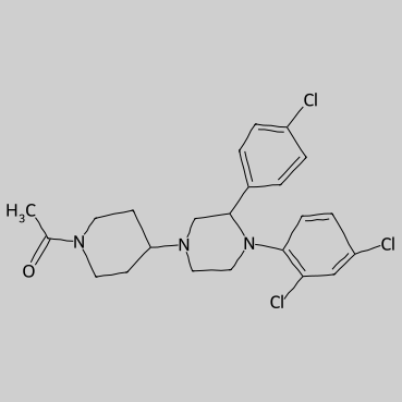 CC(=O)N1CCC(N2CCN(c3ccc(Cl)cc3Cl)C(c3ccc(Cl)cc3)C2)CC1